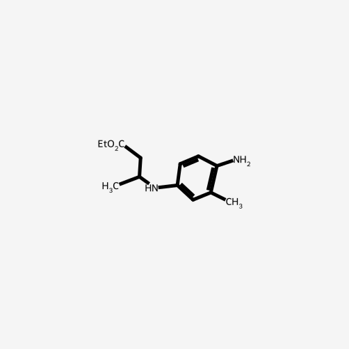 CCOC(=O)CC(C)Nc1ccc(N)c(C)c1